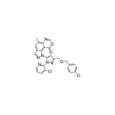 Cc1cc2cnn(-c3cc(COCc4ccc(Cl)cc4)nn3-c3ncccc3Cl)c2c2c(=O)ocnc12